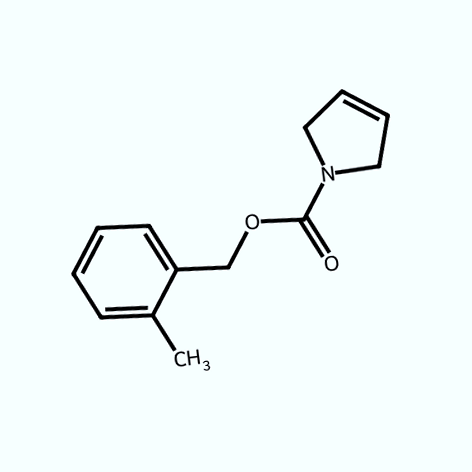 Cc1ccccc1COC(=O)N1CC=CC1